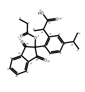 CCC(=O)OC1(c2ccc(C(C)C)cc2C(C)C(=O)O)C(=O)c2ccccc2C1=O